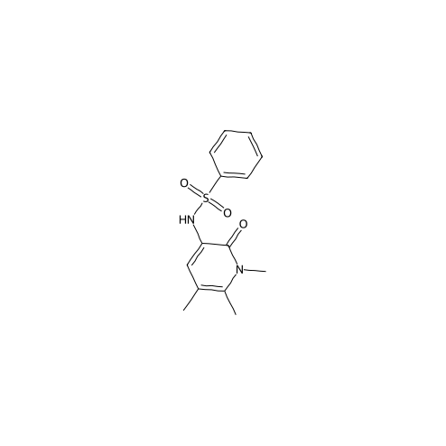 Cc1cc(NS(=O)(=O)c2ccccc2)c(=O)n(C)c1C